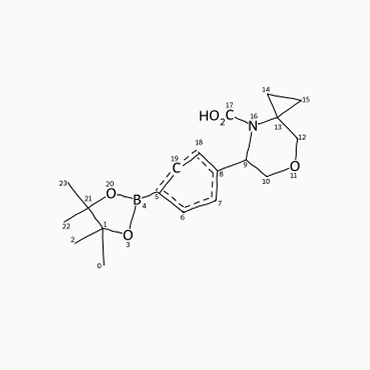 CC1(C)OB(c2ccc(C3COCC4(CC4)N3C(=O)O)cc2)OC1(C)C